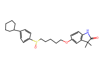 CC1(C)C(=O)Nc2ccc(OCCCCC[S+]([O-])c3ccc(C4CCCCC4)cc3)cc21